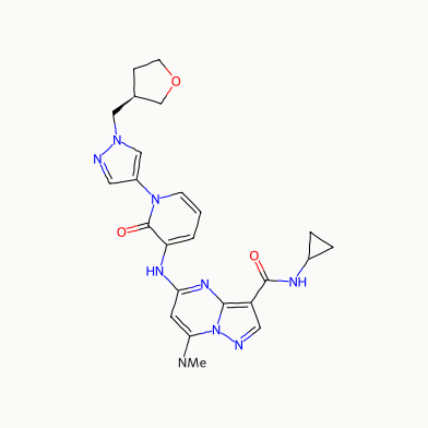 CNc1cc(Nc2cccn(-c3cnn(C[C@H]4CCOC4)c3)c2=O)nc2c(C(=O)NC3CC3)cnn12